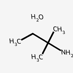 CCC(C)(C)N.O